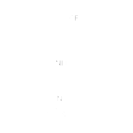 O=c1sc2ccccc2n1CCCNCc1ccc(C(F)(F)F)cc1